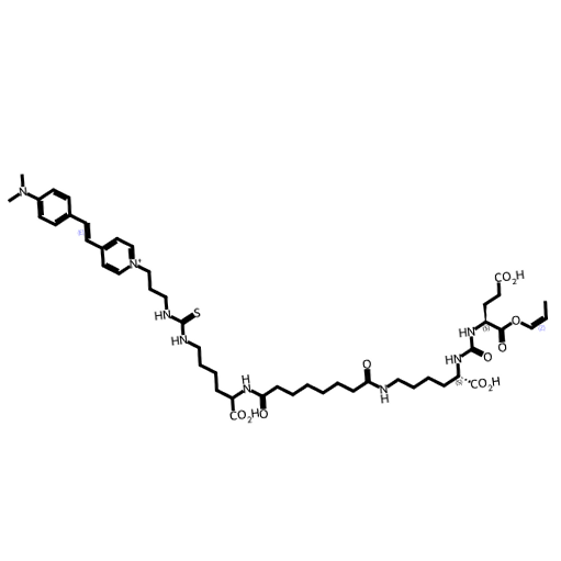 C/C=C\OC(=O)[C@H](CCC(=O)O)NC(=O)N[C@@H](CCCCNC(=O)CCCCCCC(=O)NC(CCCCNC(=S)NCCC[n+]1ccc(/C=C/c2ccc(N(C)C)cc2)cc1)C(=O)O)C(=O)O